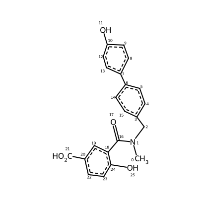 CN(Cc1ccc(-c2ccc(O)cc2)cc1)C(=O)c1cc(C(=O)O)ccc1O